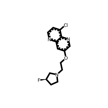 F[C@@H]1CCN(CCOc2cnc3c(Cl)ccnc3c2)C1